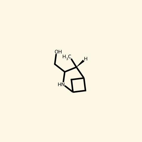 C[C@@H]1C2CC(C2)NC1CO